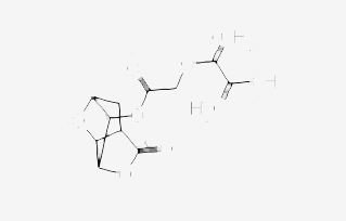 C=C(C)C(=C)OCC(=O)OC1C2CC3C(=O)OC1C3O2